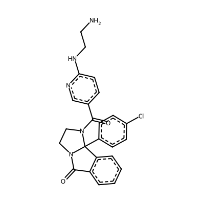 NCCNc1ccc(C(=O)N2CCN3C(=O)c4ccccc4C23c2ccc(Cl)cc2)cn1